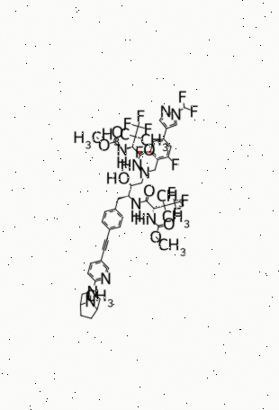 COC(=O)N[C@H](C(=O)N[C@@H](Cc1ccc(C#Cc2ccc(N3CC4CCC(C3)N4C)nc2)cc1)[C@@H](O)CN(Cc1c(F)cc(-c2cnn(C(F)F)c2)cc1F)NC(=O)[C@@H](NC(=O)OC)C(C)(C)C(F)(F)F)C(C)(C)C(F)(F)F